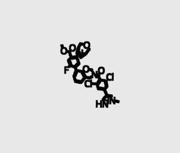 CN/C=C(\C=N)c1cc(Cl)c(C(=O)N2COc3c(cccc3-c3cc(N4C5CCC4COC5)c(C(=O)OC)cc3F)C2)c(Cl)c1